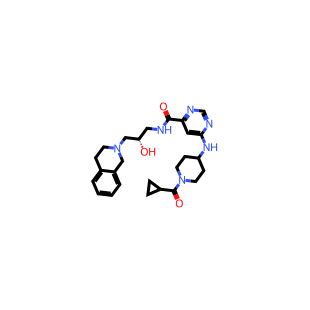 O=C(NC[C@H](O)CN1CCc2ccccc2C1)c1cc(NC2CCN(C(=O)C3CC3)CC2)ncn1